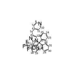 OC(c1nc(Cc2ccncc2)cn1C(c1ccccc1)(c1ccccc1)c1ccccc1)C(F)(F)F